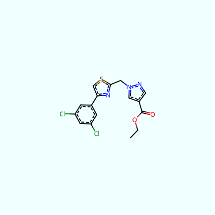 CCOC(=O)c1cnn(Cc2nc(-c3cc(Cl)cc(Cl)c3)cs2)c1